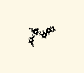 CNCc1cc(C)c(OCc2cccc(-c3ccc4c(c3)OCCO4)c2C)cc1OCc1cncc(C#N)c1